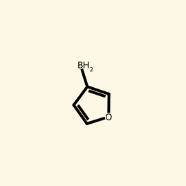 Bc1ccoc1